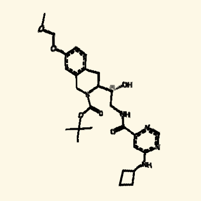 COCOc1ccc2c(c1)CN(C(=O)OC(C)(C)C)C([C@H](O)CNC(=O)c1cc(NC3CCC3)ncn1)C2